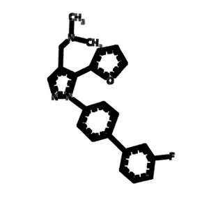 CN(C)Cc1cnn(-c2ccc(-c3cccc(F)c3)cc2)c1-c1ccco1